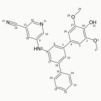 COc1cc(-c2cc(Nc3cncc(C#N)c3)cc(-c3ccccc3)c2)cc(OC)c1O